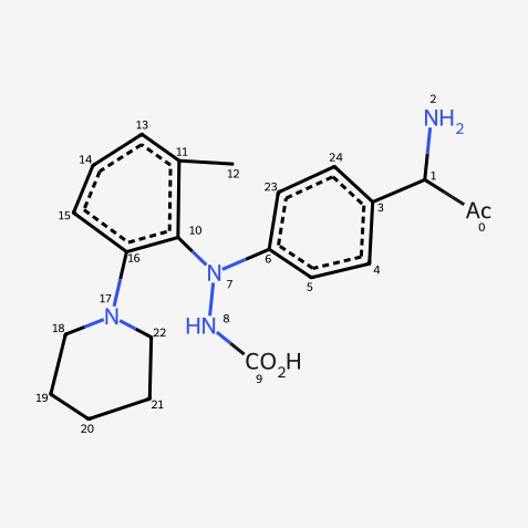 CC(=O)C(N)c1ccc(N(NC(=O)O)c2c(C)cccc2N2CCCCC2)cc1